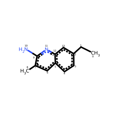 CCc1ccc2cc(C)c(N)nc2c1